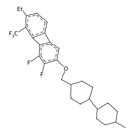 CCc1ccc2c(c1C(F)(F)F)-c1c-2cc(OCC2CCC(C3CCC(C)CC3)CC2)c(F)c1F